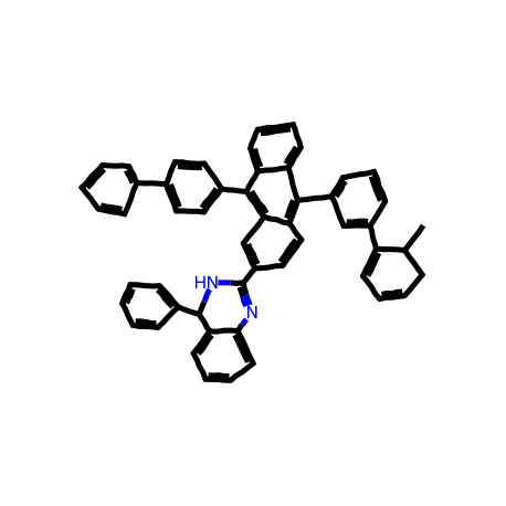 CC1CC=CC=C1c1cccc(-c2c3ccccc3c(-c3ccc(-c4ccccc4)cc3)c3cc(C4=Nc5ccccc5C(c5ccccc5)N4)ccc23)c1